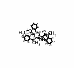 CCOc1ccccc1N(CCc1nc2ccccc2n(C)c1=O)C(=N)N(C#N)C(C)c1ccccc1